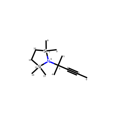 CC#CC(C)(C)N1[Si](C)(C)CC[Si]1(C)C